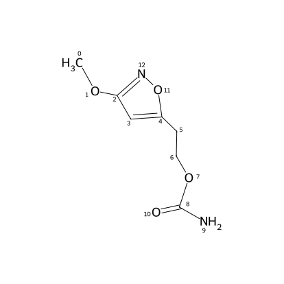 COc1cc(CCOC(N)=O)on1